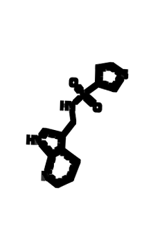 O=S(=O)(NCc1c[nH]c2ncccc12)c1ccsc1